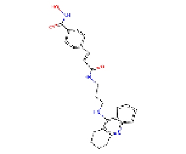 O=C(/C=C/c1ccc(C(=O)NO)cc1)NCCCNc1c2c(nc3ccccc13)CCCC2